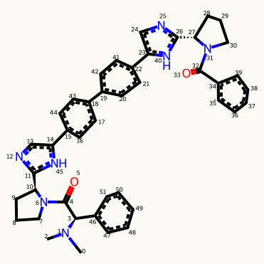 CN(C)[C@@H](C(=O)N1CCC[C@H]1c1ncc(-c2ccc(-c3ccc(-c4cnc([C@@H]5CCCN5C(=O)c5[c]cccc5)[nH]4)cc3)cc2)[nH]1)c1ccccc1